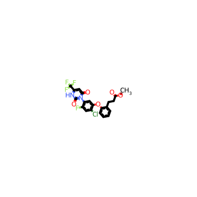 COC(=O)CCc1ccccc1Oc1cc(-n2c(=O)cc(C(F)(F)F)[nH]c2=O)c(F)cc1Cl